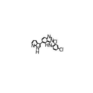 Clc1ccc(Nc2ncnc3ccc(-c4c[nH]c5ncccc45)cc23)c(Cl)c1